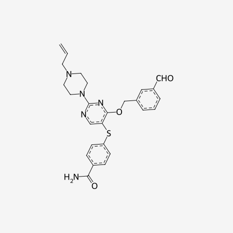 C=CCN1CCN(c2ncc(Sc3ccc(C(N)=O)cc3)c(OCc3cccc(C=O)c3)n2)CC1